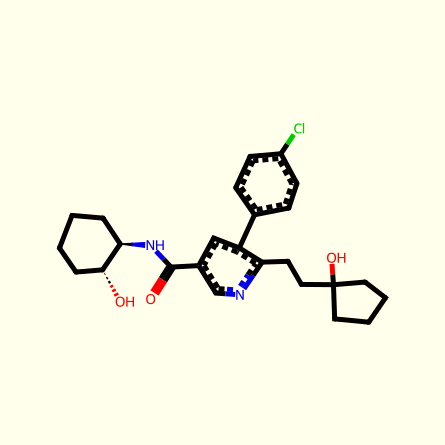 O=C(N[C@@H]1CCCC[C@H]1O)c1cnc(CCC2(O)CCCC2)c(-c2ccc(Cl)cc2)c1